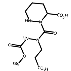 CC(C)(C)OC(=O)NN(CCC(=O)O)C(=O)N1NCCCC1C(=O)O